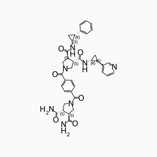 NC(=O)[C@@H]1CN(C(=O)c2ccc(C(=O)N3C[C@@H](C(=O)N[C@H]4C[C@@H]4c4ccccc4)[C@H](C(=O)N[C@@H]4C[C@H]4c4cccnc4)C3)cc2)C[C@H]1C(N)=O